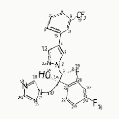 C[C@@H](n1cc(-c2cccc(C(F)(F)F)c2)cn1)[C@](O)(Cn1cncn1)c1ccc(F)cc1F